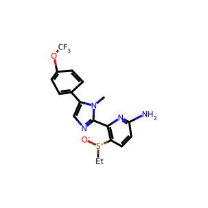 CC[S+]([O-])c1ccc(N)nc1-c1ncc(-c2ccc(OC(F)(F)F)cc2)n1C